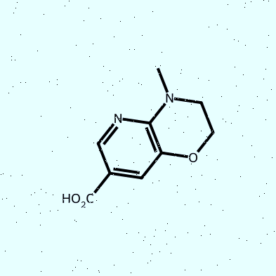 CN1CCOc2cc(C(=O)O)cnc21